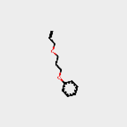 C=CCO[CH]CCOc1ccccc1